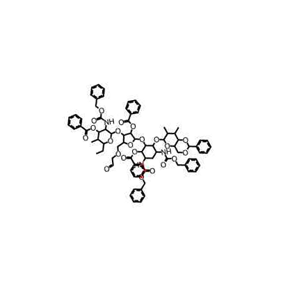 CCC1OC(OC2C(COCC=O)OC(OC3C(OC(=O)c4ccccc4)C(NC(=O)OCc4ccccc4)CC(NC(=O)OCc4ccccc4)C3OC3OC4COC(c5ccccc5)OC4C(C)C3C)C2OC(=O)c2ccccc2)C(NC(=O)OCc2ccccc2)C(OC(=O)c2ccccc2)C1C